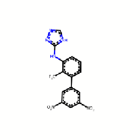 O=[N+]([O-])c1cc(-c2cccc(Nc3nnc[nH]3)c2C(F)(F)F)cc([N+](=O)[O-])c1